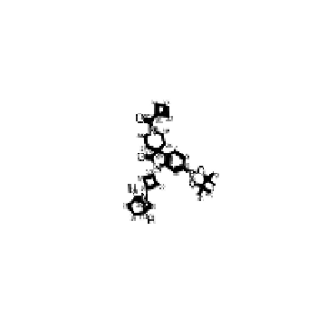 CC1(C)OB(c2ccc3c(c2)N([C@H]2C[C@@H](N4C[C@H]5CC[C@@H]4C5)C2)C(=O)C32CCN(C(=O)C34CC(C3)C4)CC2)OC1(C)C